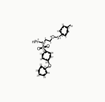 CCCN(CCOSc1ccc(C)cc1)S(=O)(=O)c1ccc(Oc2ccccc2)cc1